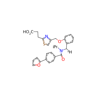 [2H]C(c1ccccc1OCc1csc(CCC(=O)O)n1)N(C(=O)c1ccc(-c2ccco2)cc1)C(C)C